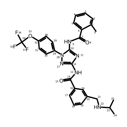 Cc1ccccc1C(=O)Nc1nc(NC(=O)c2cccc(CNC(C)C)c2)nn1-c1ccc(OC(F)(F)F)cc1